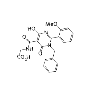 COc1ccccc1-c1nc(O)c(C(=O)NCC(=O)O)c(=O)n1Cc1ccccc1